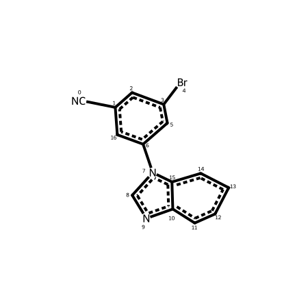 N#Cc1cc(Br)cc(-n2cnc3ccccc32)c1